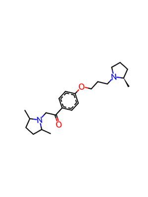 CC1CCC(C)N1CC(=O)c1ccc(OCCCN2CCC[C@H]2C)cc1